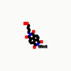 CCCCCN1C(=O)c2ccc3c4c(ccc(c24)C1=O)C(=O)N(CCCCO)C3=O